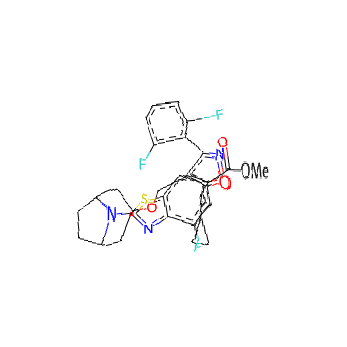 COC(=O)c1cc(F)c2nc(N3C4CCC3CC(OCc3c(-c5c(F)cccc5F)noc3C3CC3)C4)sc2c1